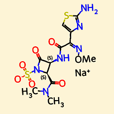 CON=C(C(=O)N[C@@H]1C(=O)N(S(=O)(=O)[O-])[C@@H]1C(=O)N(C)C)c1csc(N)n1.[Na+]